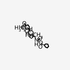 CN1C(=O)C=C[C@@]2(C)C1CC[C@@H]1[C@H]2CC[C@]2(C)C(CNC(=O)COC(=O)c3ccccc3)CC[C@@H]12